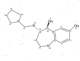 Oc1ccc2c(c1)[C@H](O)[C@@H](OCC1CCCC1)CCO2